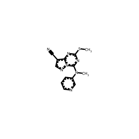 CSc1nc(N(C)c2cccnc2)n2ncc(C#N)c2n1